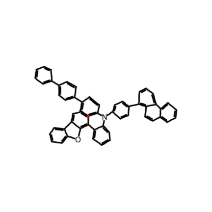 c1ccc(-c2ccc(-c3ccc(N(c4ccc(-c5cccc6c5ccc5ccccc56)cc4)c4ccccc4-c4cccc5c4oc4ccccc45)cc3)cc2)cc1